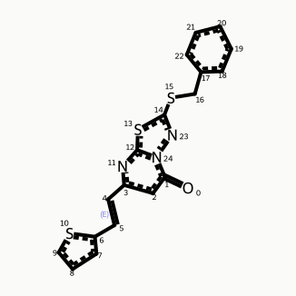 O=c1cc(/C=C/c2cccs2)nc2sc(SCc3ccccc3)nn12